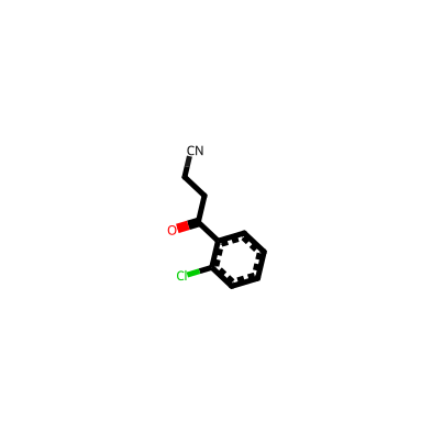 N#CCCC(=O)c1ccccc1Cl